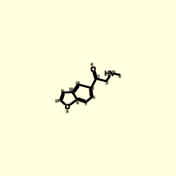 CNCC(=O)c1ccc2occc2c1